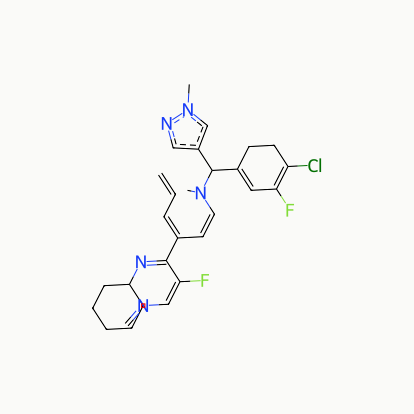 C=C/C=C(\C=C/N(C)C(C1=CC(F)=C(Cl)CC1)c1cnn(C)c1)C(=N/C1CCCCC1)/C(F)=C\N=C